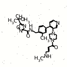 CNCC=CC(=O)N1CCN(c2cnccc2-c2ccc(CNC(=O)c3noc(C(C)(C)C)n3)c(C)c2)CC1